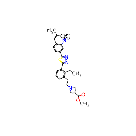 [C-]#[N+]c1cc(-c2nnc(-c3cccc(CCN4CC(C(=O)OC)C4)c3CC)s2)ccc1CC(C)C